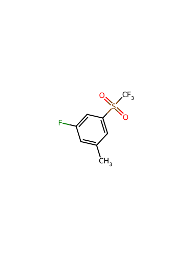 Cc1cc(F)cc(S(=O)(=O)C(F)(F)F)c1